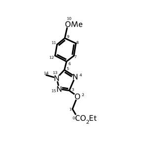 CCOC(=O)COc1nc(-c2ccc(OC)cc2)n(C)n1